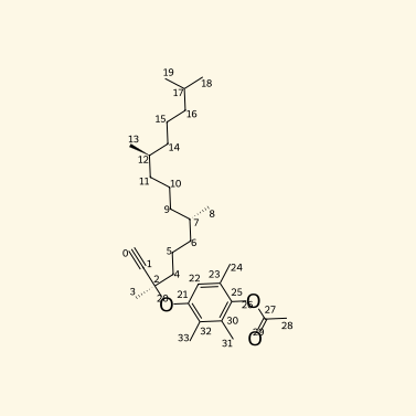 C#C[C@@](C)(CCC[C@@H](C)CCC[C@@H](C)CCCC(C)C)Oc1cc(C)c(OC(C)=O)c(C)c1C